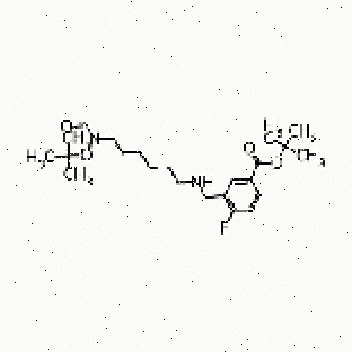 CC(C)(C)OC(=O)c1ccc(F)c(CNCCCCCCN(C=O)OC(C)(C)C)c1